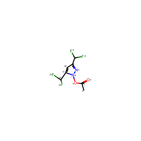 CC(=O)On1nc(C(F)F)cc1C(F)F